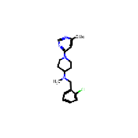 COc1cc(N2CCC(N(C)Cc3ccccc3Cl)CC2)ncn1